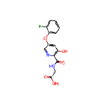 O=C(O)CNC(=O)c1ncc(Oc2ccccc2F)cc1O